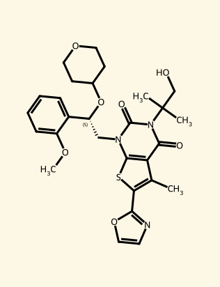 COc1ccccc1[C@@H](Cn1c(=O)n(C(C)(C)CO)c(=O)c2c(C)c(-c3ncco3)sc21)OC1CCOCC1